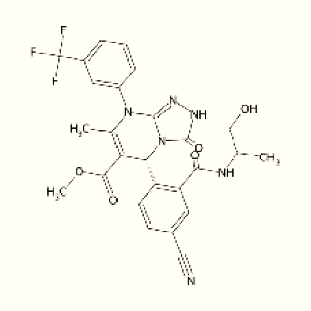 COC(=O)C1=C(C)N(c2cccc(C(F)(F)F)c2)c2n[nH]c(=O)n2[C@@H]1c1ccc(C#N)cc1C(=O)NC(C)CO